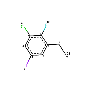 O=NCc1cc(I)cc(Cl)c1F